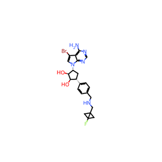 Nc1ncnc2c1c(Br)cn2[C@@H]1C[C@H](c2ccc(CNCC34CC3(F)C4)cc2)[C@@H](O)[C@H]1O